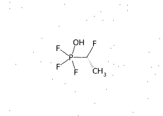 C[C@@H](F)P(O)(F)(F)F